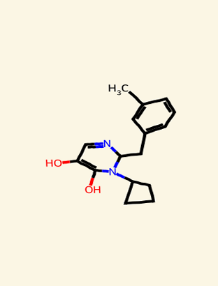 Cc1cccc(CC2N=CC(O)=C(O)N2C2CCC2)c1